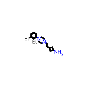 CCc1cccc(N2CCN(CCC3CC(N)C3)CC2)c1CC